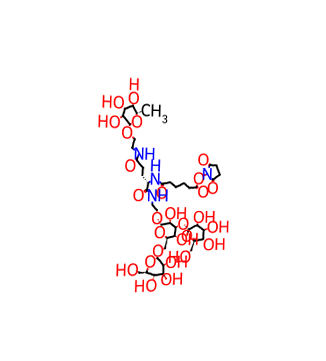 C[C@@H]1O[C@@H](OCCNC(=O)CC[C@H](NC(=O)CCCCC(=O)ON2C(=O)CCC2=O)C(=O)NCCO[C@H]2O[C@H](CO[C@H]3O[C@H](CO)[C@@H](O)[C@H](O)[C@@H]3O)[C@@H](O)[C@H](O[C@H]3O[C@H](CO)[C@@H](O)[C@H](O)[C@@H]3O)[C@@H]2O)[C@@H](O)[C@H](O)[C@@H]1O